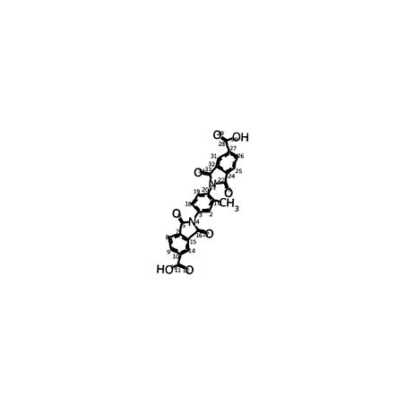 Cc1cc(N2C(=O)c3ccc(C(=O)O)cc3C2=O)ccc1N1C(=O)c2ccc(C(=O)O)cc2C1=O